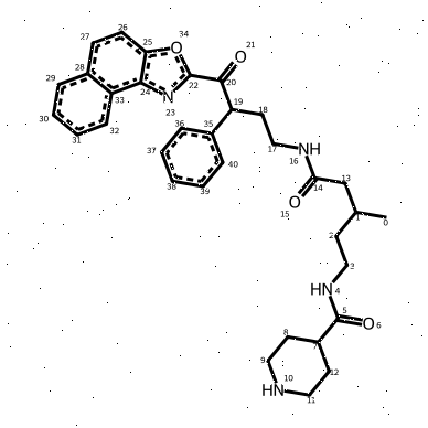 CC(CCNC(=O)C1CCNCC1)CC(=O)NCCC(C(=O)c1nc2c(ccc3ccccc32)o1)c1ccccc1